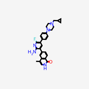 Cc1c[nH]c(=O)c2ccc(-c3cc(-c4ccc(N5CCN(CC6CC6)CC5)cc4)c(F)nc3N)cc12